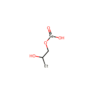 CCC(O)CO[Se](=O)O